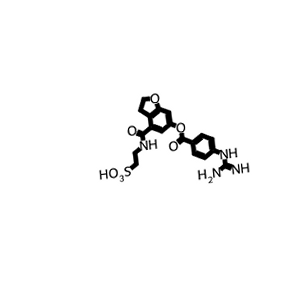 N=C(N)Nc1ccc(C(=O)Oc2cc3c(c(C(=O)NCCS(=O)(=O)O)c2)CCO3)cc1